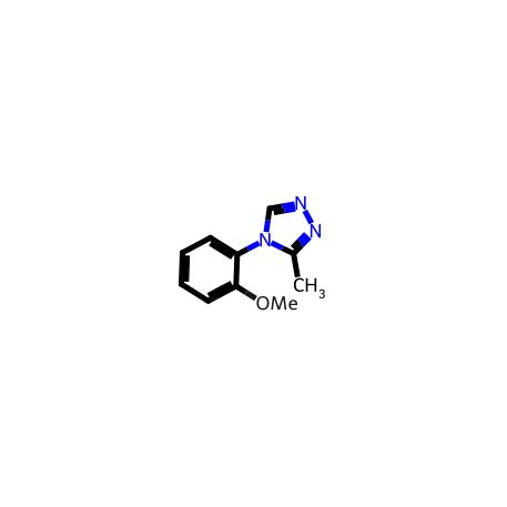 COc1ccccc1-n1cnnc1C